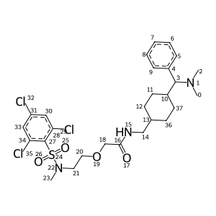 CN(C)C(c1ccccc1)C1CCC(CNC(=O)COCCN(C)S(=O)(=O)c2c(Cl)cc(Cl)cc2Cl)CC1